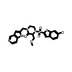 COCC1C(=O)N(Cc2cc3cnccc3[nH]2)CCN1S(=O)(=O)c1cc2ccc(Cl)cc2s1